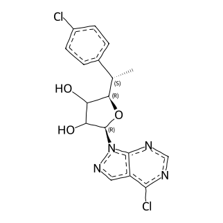 C[C@@H](c1ccc(Cl)cc1)[C@H]1O[C@@H](n2ncc3c(Cl)ncnc32)C(O)C1O